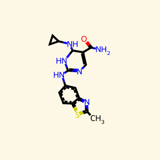 Cc1nc2cc(NC3=NC=C(C(N)=O)C(NC4CC4)N3)ccc2s1